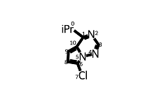 CC(C)c1ncnn2c(Cl)ccc12